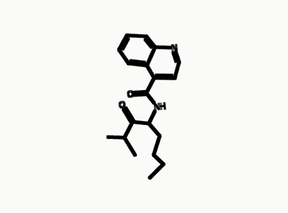 CCCCC(NC(=O)c1ccnc2ccccc12)C(=O)C(C)C